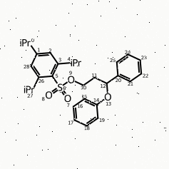 CC(C)c1cc(C(C)C)c(S(=O)(=O)OCCC(Oc2ccccc2)c2ccccc2)c(C(C)C)c1